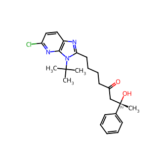 CC(C)(C)n1c(CCCCC(=O)C[C@](C)(O)c2ccccc2)nc2ccc(Cl)nc21